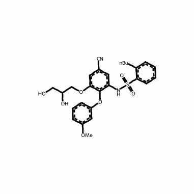 CCCCc1ccccc1S(=O)(=O)Nc1cc(C#N)cc(OCC(O)CO)c1Oc1cccc(OC)c1